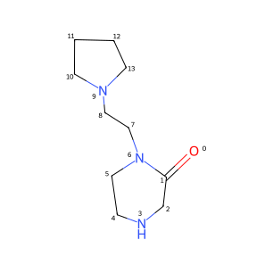 O=C1CNCCN1CCN1CCCC1